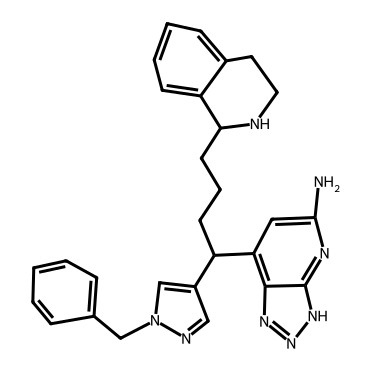 Nc1cc(C(CCCC2NCCc3ccccc32)c2cnn(Cc3ccccc3)c2)c2nn[nH]c2n1